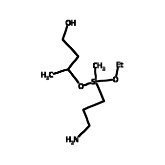 CCO[Si](C)(CCCN)OC(C)CCO